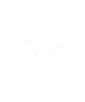 C1=CC(C(Cc2ccc(-c3cccc(C4=CC(N(c5ccccc5)c5ccc6c(c5)C6c5ccccc5)CC=C4)c3)cc2)c2ccccc2)=CCC1